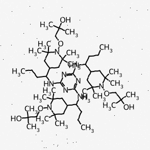 CCCC(Nc1nc(NC(CCC)C2CC(C)(C)N(OCC(C)(C)O)C(C)(C)C2)nc(NC(CCC)C2CC(C)(C)N(OCC(C)(C)O)C(C)(C)C2)n1)C1CC(C)(C)N(OCC(C)(C)O)C(C)(C)C1